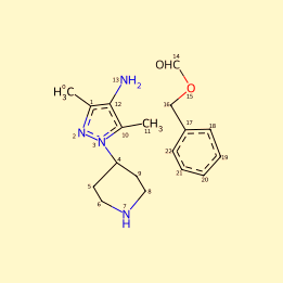 Cc1nn(C2CCNCC2)c(C)c1N.O=COCc1ccccc1